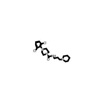 O=C(NCCCN1CCCCC1)N1CCN(c2c(Cl)cccc2Cl)CC1